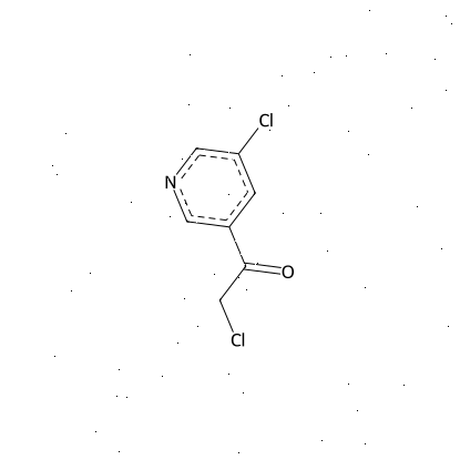 O=C(CCl)c1cncc(Cl)c1